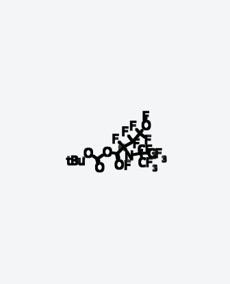 CC(C)(C)OC(=O)OC(=O)[C@@](F)(N(F)C(C(F)(F)F)(C(F)(F)F)C(F)(F)F)C(F)(F)C(F)(F)OF